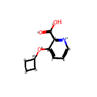 O=C(O)c1ncccc1OC1CCC1